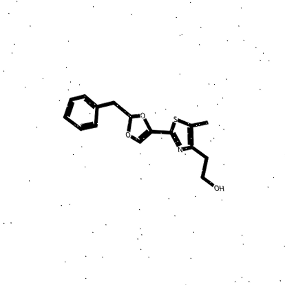 Cc1sc(C2=COC(Cc3ccccc3)O2)nc1CCO